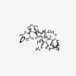 Cc1nc(N[C@H](C)c2cccc(C(F)(F)F)c2F)c2cc3n(c2n1)CCOC3C1CCOCC1